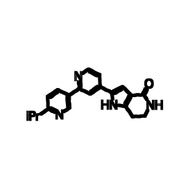 CC(C)c1ccc(-c2cc(-c3cc4c([nH]3)CCNC4=O)ccn2)cn1